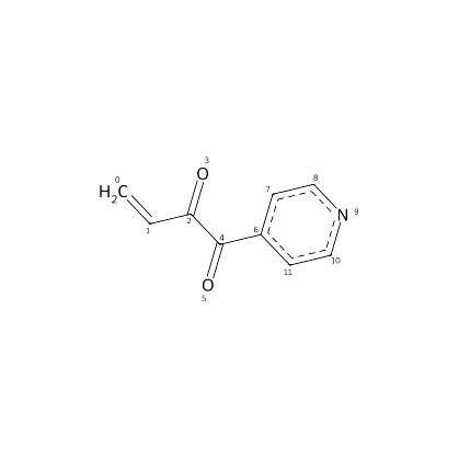 C=CC(=O)C(=O)c1ccncc1